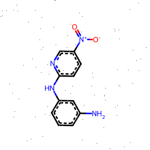 Nc1cccc(Nc2ccc([N+](=O)[O-])cn2)c1